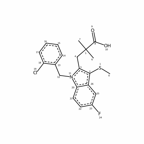 CSc1c(CC(C)(C)C(=O)O)n(Cc2ccccc2Cl)c2ccc(F)cc12